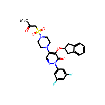 COC(=O)CS(=O)(=O)N1CCN(c2cnn(-c3cc(F)cc(F)c3)c(=O)c2OC2Cc3ccccc3C2)CC1